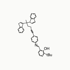 CC(C)(C)c1cccc(/C=N/c2ccc(C#CCCC(C)(C3=CCc4ccccc43)C3C=Cc4ccccc43)cc2)c1O